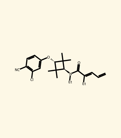 C=C/C=C(\CC)C(=O)N(CC)[C@H]1C(C)(C)[C@H](Oc2ccc(C#N)c(Cl)c2)C1(C)C